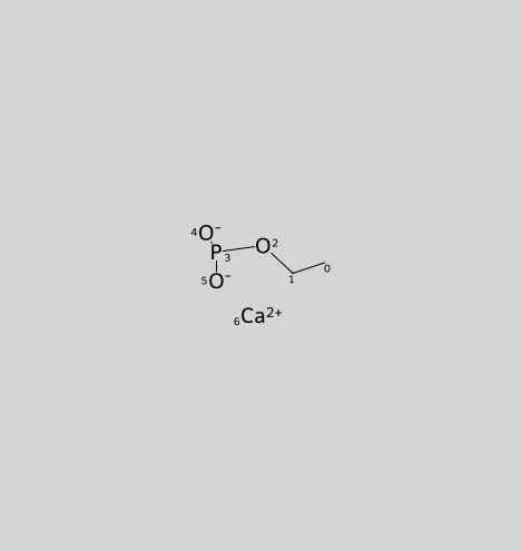 CCOP([O-])[O-].[Ca+2]